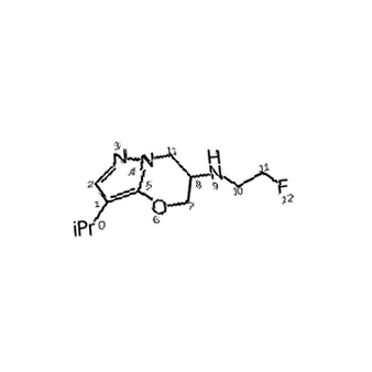 CC(C)c1cnn2c1OCC(NCCF)C2